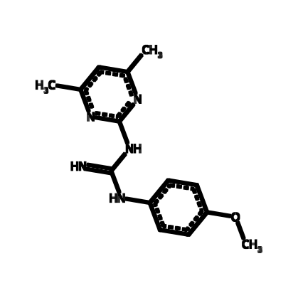 COc1ccc(NC(=N)Nc2nc(C)cc(C)n2)cc1